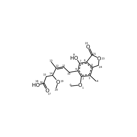 COc1c(C)c2c(c(O)c1CC=C(C)C(CC(=O)O)OC)C(=O)OC2